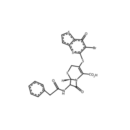 O=C(Cc1ccccc1)NC1C(=O)N2C(C(=O)O)=C(Sc3sc4ccsc4c(=O)c3Br)CS[C@@H]12